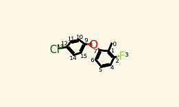 Cc1c(F)cccc1Oc1ccc(Cl)cc1